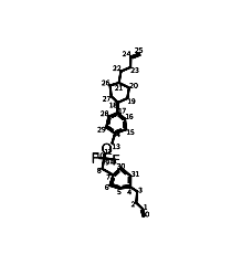 C=CCCc1ccc(CC(F)(F)OCc2ccc(C3CCC(CCC=C)CC3)cc2)cc1